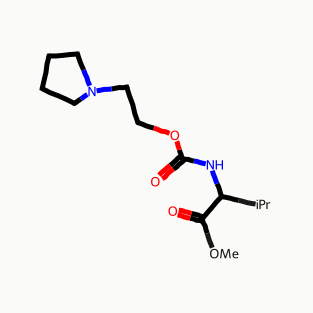 COC(=O)C(NC(=O)OCCN1CCCC1)C(C)C